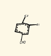 CCc1cc(C=O)ccc1Cl